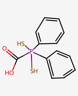 O=C(O)P(S)(S)(c1ccccc1)c1ccccc1